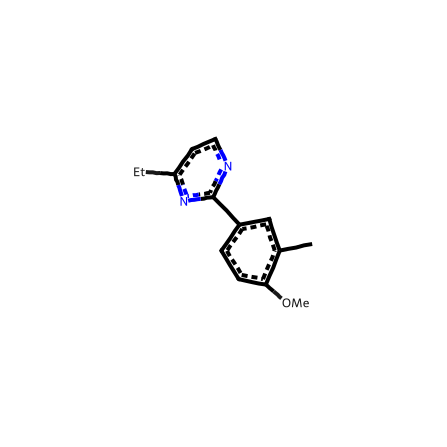 CCc1ccnc(-c2ccc(OC)c(C)c2)n1